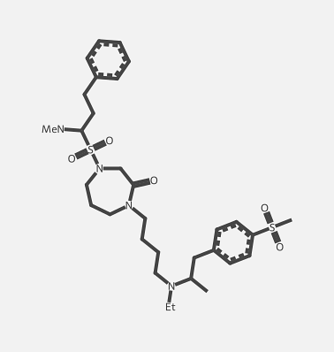 CCN(CCCCN1CCCN(S(=O)(=O)C(CCc2ccccc2)NC)CC1=O)C(C)Cc1ccc(S(C)(=O)=O)cc1